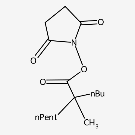 CCCCCC(C)(CCCC)C(=O)ON1C(=O)CCC1=O